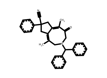 CC1=C2CC(C#N)(c3ccccc3)CC2=C(C)C(=O)CN(C(c2ccccc2)c2ccccc2)C1